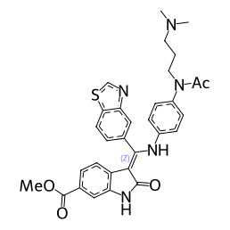 COC(=O)c1ccc2c(c1)NC(=O)/C2=C(\Nc1ccc(N(CCCN(C)C)C(C)=O)cc1)c1ccc2scnc2c1